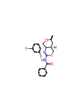 C=C1C[C@H]2CSC(NC(=O)c3ccccc3)=N[C@@]2(c2ccc(F)cc2F)CO1